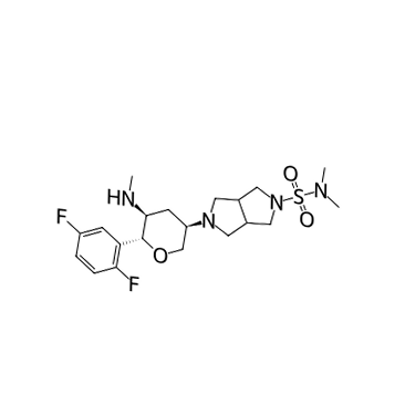 CN[C@H]1C[C@@H](N2CC3CN(S(=O)(=O)N(C)C)CC3C2)CO[C@@H]1c1cc(F)ccc1F